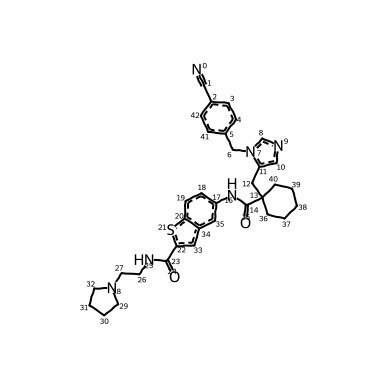 N#Cc1ccc(Cn2cncc2CC2(C(=O)Nc3ccc4sc(C(=O)NCCN5CCCC5)cc4c3)CCCCC2)cc1